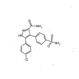 NC(=O)c1n[nH]c(-c2ccc(Cl)cc2)c1-c1ccc(S(N)(=O)=O)cc1